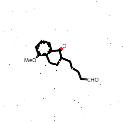 COc1cccc2c1CCC(CCCCC=O)C2=O